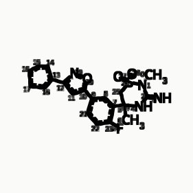 CN1C(=N)N[C@](C)(c2cc(-c3cc(-c4ccccc4)no3)ccc2F)CS1(=O)=O